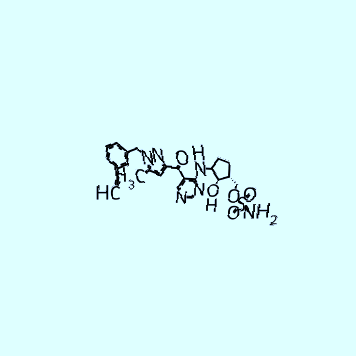 C#Cc1cccc(Cn2nc(C(=O)c3cncnc3NC3CC[C@H](COS(N)(=O)=O)[C@H]3O)cc2C)c1